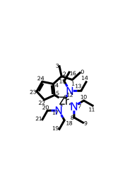 CCC(C)C1=[C]([Zr]([N](CC)CC)([N](CC)CC)[N](CC)CC)CC=C1